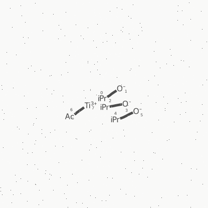 CC(C)[O-].CC(C)[O-].CC(C)[O-].C[C](=O)[Ti+3]